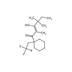 CCC(C)(C)/C(O)=C(\C)C(=O)C1(CC(F)(F)F)CCCCC1